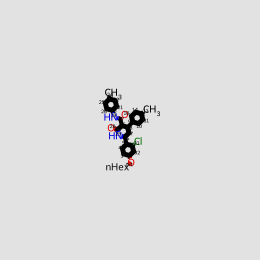 CCCCCCOc1ccc(-c2cc(-c3ccc(C)cc3)c(C(=O)Nc3ccc(C)cc3)c(=O)[nH]2)c(Cl)c1